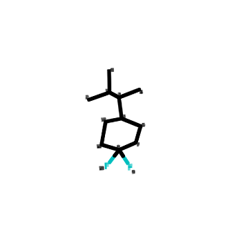 CC(C)C(C)C1CCC(F)(F)CC1